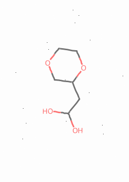 OC(O)CC1COCCO1